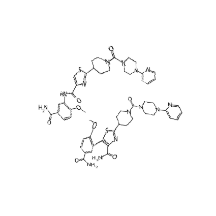 COc1ccc(C(N)=O)cc1-c1sc(C2CCN(C(=O)N3CCN(c4ccccn4)CC3)CC2)nc1C(N)=O.COc1ccc(C(N)=O)cc1NC(=O)c1csc(C2CCN(C(=O)N3CCN(c4ccccn4)CC3)CC2)n1